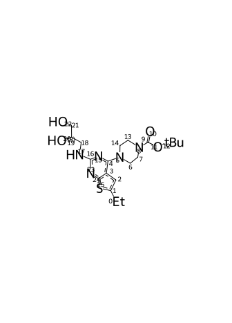 CCc1cc2c(N3CCN(C(=O)OC(C)(C)C)CC3)nc(NC[C@@H](O)CO)nc2s1